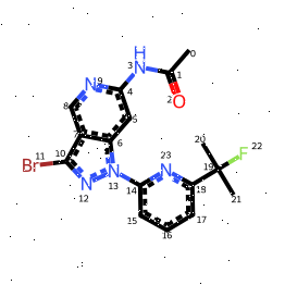 CC(=O)Nc1cc2c(cn1)c(Br)nn2-c1cccc(C(C)(C)F)n1